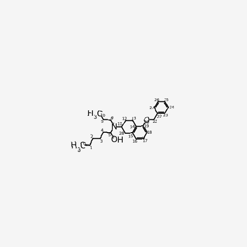 CCCCCC(O)N(CCC)C1CCc2c(cccc2OCc2ccccc2)C1